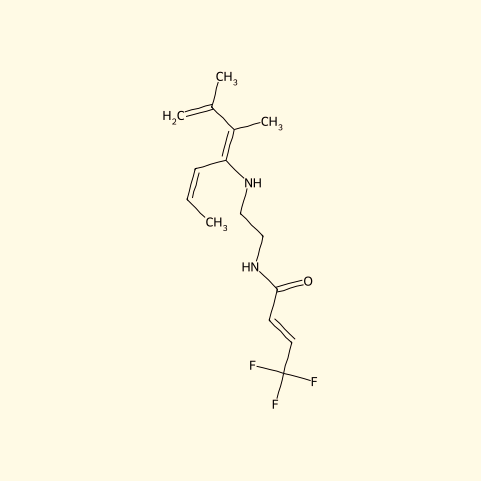 C=C(C)/C(C)=C(\C=C/C)NCCNC(=O)/C=C/C(F)(F)F